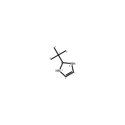 CC(C)(C)C1NC=CN1